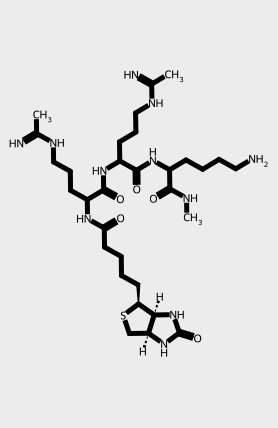 CNC(=O)C(CCCCN)NC(=O)C(CCCNC(C)=N)NC(=O)C(CCCNC(C)=N)NC(=O)CCCC[C@@H]1SC[C@@H]2NC(=O)N[C@@H]21